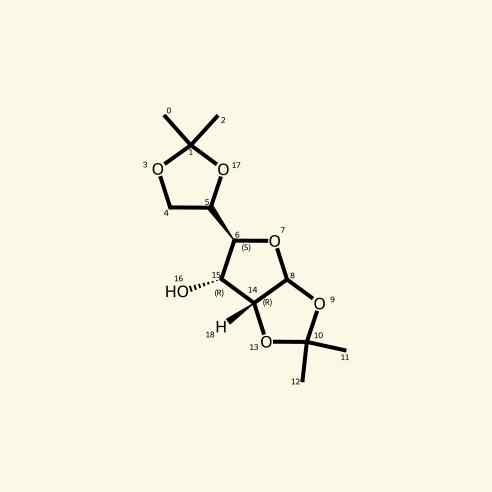 CC1(C)OCC([C@H]2OC3OC(C)(C)O[C@@H]3[C@@H]2O)O1